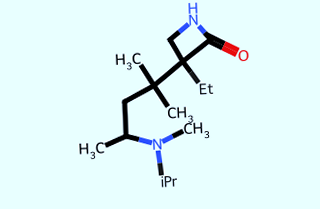 CCC1(C(C)(C)CC(C)N(C)C(C)C)CNC1=O